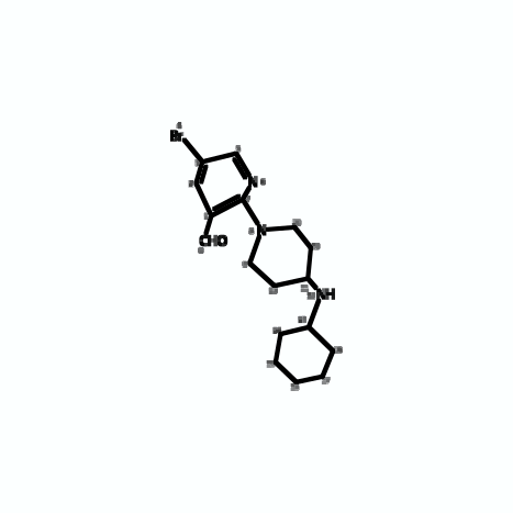 O=Cc1cc(Br)cnc1N1CCC(NC2CCCCC2)CC1